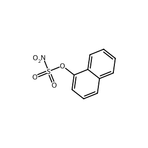 O=[N+]([O-])S(=O)(=O)Oc1cccc2ccccc12